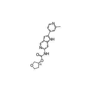 Cc1cc(-c2cc3cnc(NC(=O)O[C@H]4CCOC4)cc3[nH]2)ccn1